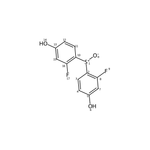 [O-][S+](c1ccc(O)cc1F)c1ccc(O)cc1F